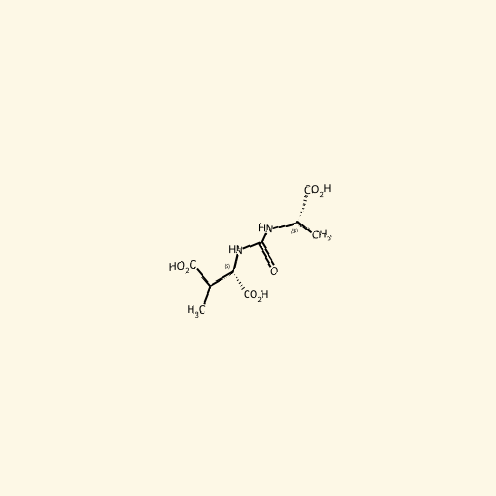 CC(C(=O)O)[C@H](NC(=O)N[C@@H](C)C(=O)O)C(=O)O